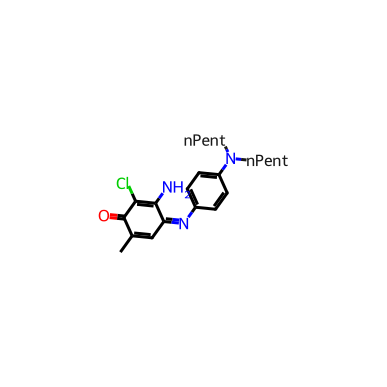 CCCCCN(CCCCC)c1ccc(/N=C2/C=C(C)C(=O)C(Cl)=C2N)cc1